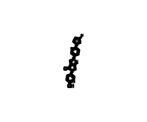 O=C1c2cn(-c3ccc(N4CC[C@@H](F)C4)nc3)nc2CN1c1ccc(O)nc1